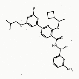 CC(C)COc1cc(F)cc(-c2ccc(C(=O)N[S+]([O-])c3cccc(N)n3)c(OC(C)C3CCC3)n2)c1